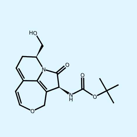 CC(C)(C)OC(=O)N[C@@H]1C(=O)N2C3=C1COC=CC3=CC[C@H]2CO